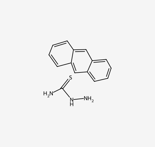 NNC(N)=S.c1ccc2cc3ccccc3cc2c1